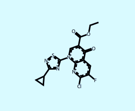 CCOC(=O)c1cn(-c2nc(C3CC3)ns2)c2nc(Cl)c(F)cc2c1=O